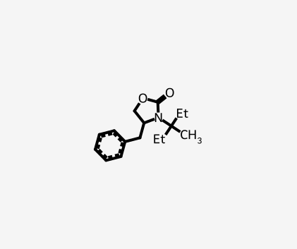 CCC(C)(CC)N1C(=O)OCC1Cc1ccccc1